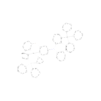 c1ccc(N(c2ccc3c(c2)Sc2ccccc2C32c3ccccc3[Si](c3ccccc3)(c3ccccc3)c3ccccc32)c2cccc3c2-c2ccccc2C3(c2ccccc2)c2ccccc2)cc1